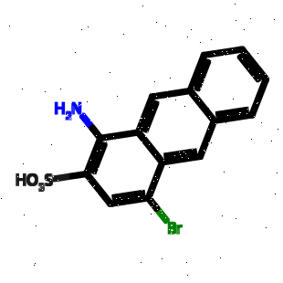 Nc1c(S(=O)(=O)O)cc(Br)c2cc3ccccc3cc12